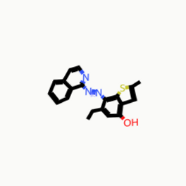 CCc1cc(O)c2cc(C)sc2c1/N=N/c1nccc2ccccc12